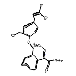 CO/N=C(/C(=O)OC)c1ccccc1COc1ccc(C=C(Br)Br)cc1Cl